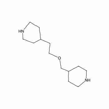 C1CC(CCOCC2CCNCC2)CCN1